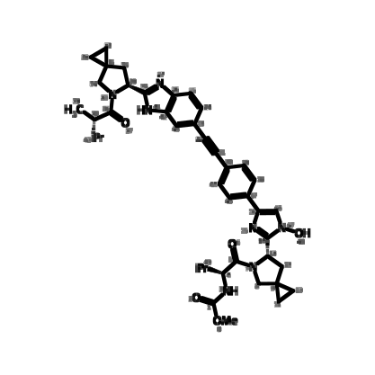 COC(=O)N[C@H](C(=O)N1CC2(CC2)C[C@H]1c1nc(-c2ccc(C#Cc3ccc4nc([C@@H]5CC6(CC6)CN5C(=O)[C@@H](C)C(C)C)[nH]c4c3)cc2)cn1O)C(C)C